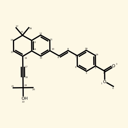 COC(=O)c1ccc(/C=C/c2ccc3c(c2)C(C#CC(C)(C)O)=CCC3(C)C)cc1